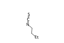 [CH2]CCCN=C=S